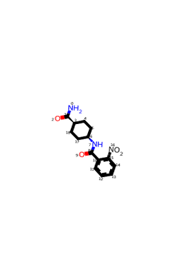 NC(=O)[C@H]1CC[C@@H](NC(=O)c2ccccc2[N+](=O)[O-])CC1